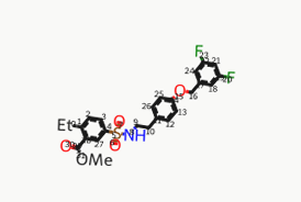 CCc1ccc(S(=O)(=O)NCCc2ccc(OCc3cc(F)cc(F)c3)cc2)cc1C(=O)OC